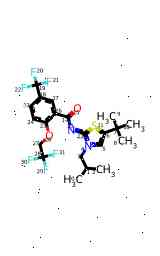 CC(C)Cn1cc(C(C)(C)C)sc1=NC(=O)c1cc(C(F)(F)F)ccc1OCC(F)(F)F